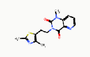 Cc1nc(C)c(CCn2c(=O)c3ncccc3n(C)c2=O)s1